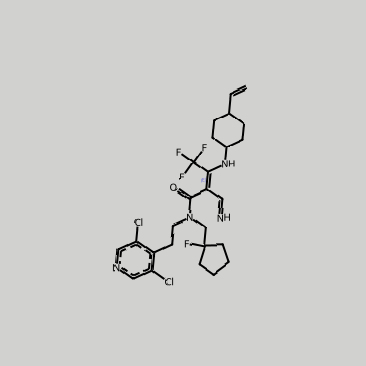 C=CC1CCC(N/C(=C(\C=N)C(=O)N(CCc2c(Cl)cncc2Cl)CC2(F)CCCC2)C(F)(F)F)CC1